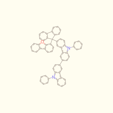 c1ccc(-n2c3ccccc3c3cc(-c4ccc5c(c4)c4cc(C6(c7cccc8c7oc7ccccc78)c7ccccc7-c7ccccc76)ccc4n5-c4ccccc4)ccc32)cc1